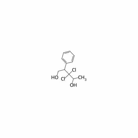 CC(O)C(Cl)(Cl)C(CO)c1ccccc1